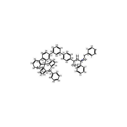 NC(N/C(=N\Cc1ccccc1)c1ccccc1)c1ccc(-c2cccc(-c3ccc4c(c3)C3(C5=C4C=CCN5)c4ccccc4N(c4ccccc4)c4ccccc43)c2)cc1